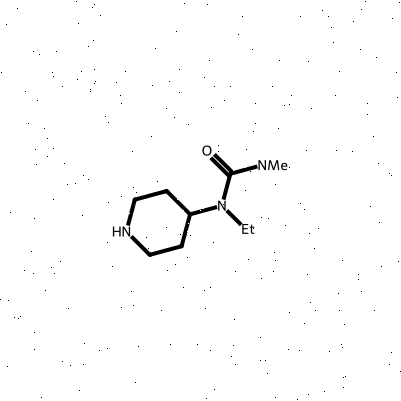 CCN(C(=O)NC)C1CCNCC1